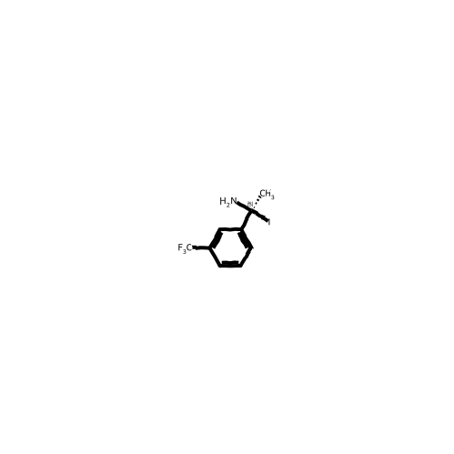 C[C@](N)(I)c1cccc(C(F)(F)F)c1